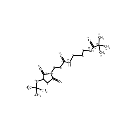 CC(C)(C)SC1CC(=O)N(CCC(=O)NCCCNC(=O)C(C)(C)C)C1=O